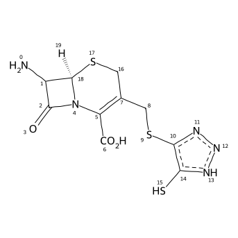 NC1C(=O)N2C(C(=O)O)=C(CSc3nn[nH]c3S)CS[C@H]12